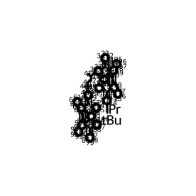 CC(C)c1ccc(N(c2ccccc2)c2c3ccccc3cc3c2c2cccc4c5c(N(c6ccccc6)c6ccc(C(C)CCC(C)(C)c7ccc(N(c8ccccc8)c8c9ccccc9cc9c8c8cccc%10c%11c(N(c%12ccccc%12)c%12ccc(C(C)(C)C)cc%12)c%12ccccc%12cc%11n9c%108)cc7)cc6)c6ccccc6cc5n3c24)cc1